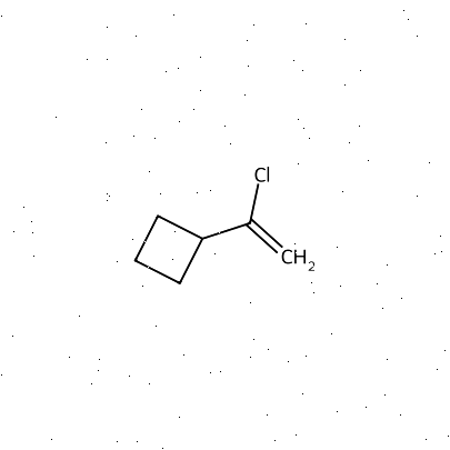 C=C(Cl)C1CCC1